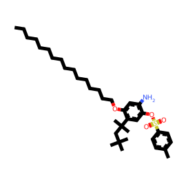 CCCCCCCCCCCCCCCCOc1cc(N)c(OS(=O)(=O)c2ccc(C)cc2)cc1C(C)(C)CC(C)(C)C